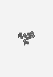 Cp1c2ccccc2c2c(-c3cccc4c(-c5cccc6c5-c5ccccc5C6(c5ccccc5)c5ccccc5)c5cccc(-c6cccc7c6c6ccccc6p7C)c5cc34)cccc21